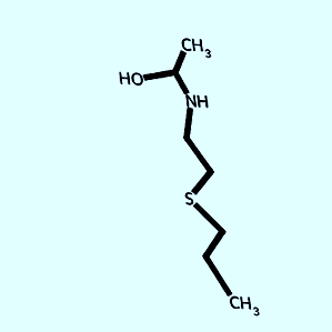 CCCSCCNC(C)O